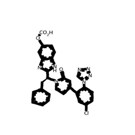 O=C(O)Oc1ccc2[nH]c([C@H](Cc3ccccc3)n3ccc(-c4cc(Cl)ccc4-n4cnnn4)cc3=O)nc2c1